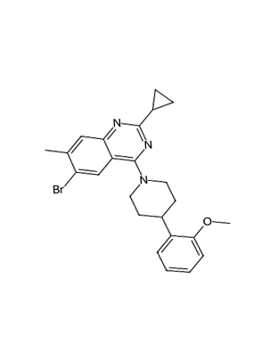 COc1ccccc1C1CCN(c2nc(C3CC3)nc3cc(C)c(Br)cc23)CC1